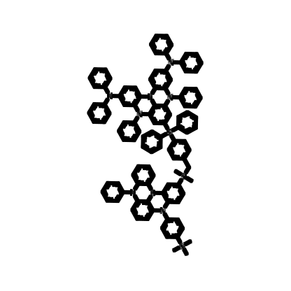 C[Si](C)(C)c1ccc(N2c3ccc([Si](C)(C)Cc4ccc([Si](c5ccccc5)(c5ccccc5)c5cc6c7c(c5)N(c5ccccc5)c5cc(N(c8ccccc8)c8ccccc8)ccc5B7c5ccc(N(c7ccccc7)c7ccccc7)cc5N6c5ccccc5)cc4)cc3B3c4ccccc4N(c4ccccc4)c4cccc2c43)cc1